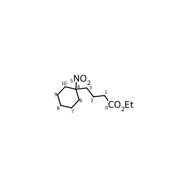 CCOC(=O)CCCC1([N+](=O)[O-])CCCCC1